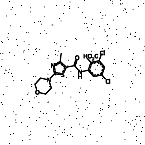 Cc1nc(N2CCOCC2)sc1C(=O)Nc1cc(Cl)cc(Cl)c1C(=O)O